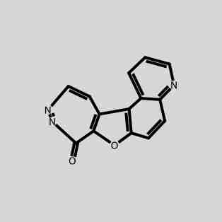 O=c1nnccc2c1oc1ccc3ncccc3c12